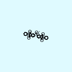 O=C1c2ccc([S+]([O-])c3ccc4c(c3)C(=O)N(C3CCCCC3)C4=O)cc2C(=O)N1C1CCCCC1